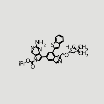 CC(C)OC(=O)n1cc(-c2cc(-c3cc4ccccc4s3)c3c(cnn3COCC[Si](C)(C)C)c2)c2nc(N)ncc21